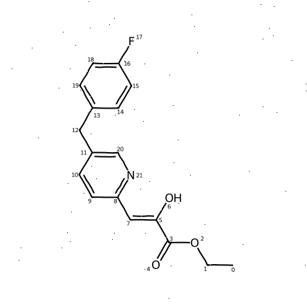 CCOC(=O)/C(O)=C/c1ccc(Cc2ccc(F)cc2)cn1